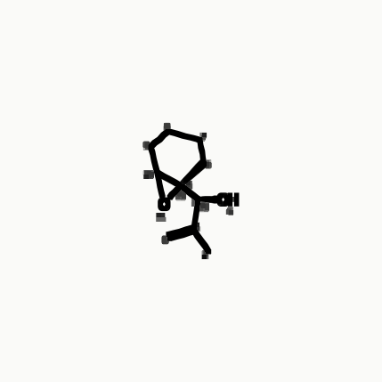 C=C(C)[C@H](O)[C@@]12CCCCC1O2